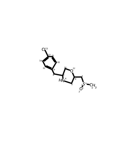 C[S+]([O-])CC1CNC(Cc2ccc(Cl)cc2)CO1